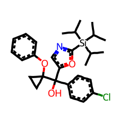 CC(C)[Si](c1ncc(C(O)(c2ccc(Cl)cc2)C2(Oc3ccccc3)CC2)o1)(C(C)C)C(C)C